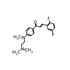 CN(C)CCN(C)c1ccc(C(=O)C=Cc2cc(F)ccc2F)cc1